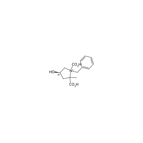 CC1(C(=O)O)C[C@@H](O)C[N+]1(Cc1ccccc1)C(=O)O